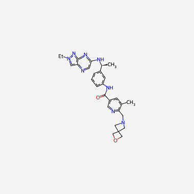 CCn1cc2ncc(N[C@@H](C)c3cccc(NC(=O)c4cnc(CN5CC6(COC6)C5)c(C)c4)c3)nc2n1